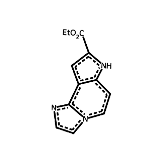 CCOC(=O)c1cc2c(ccn3ccnc23)[nH]1